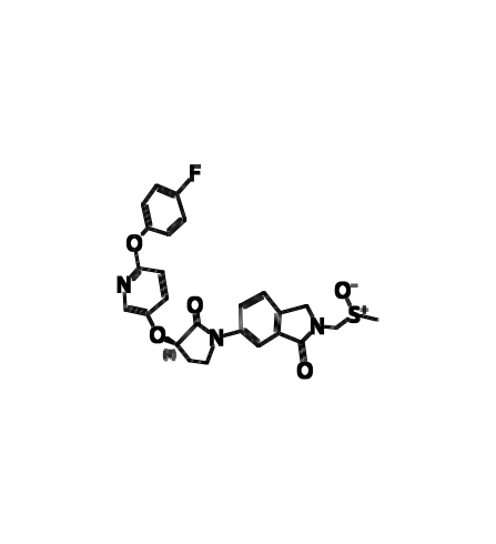 C[S+]([O-])CN1Cc2ccc(N3CC[C@@H](Oc4ccc(Oc5ccc(F)cc5)nc4)C3=O)cc2C1=O